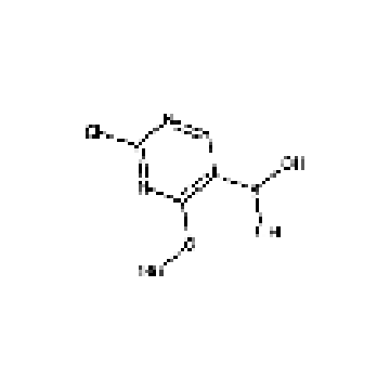 CC(C)(C)Oc1nc(Cl)ncc1B(O)O